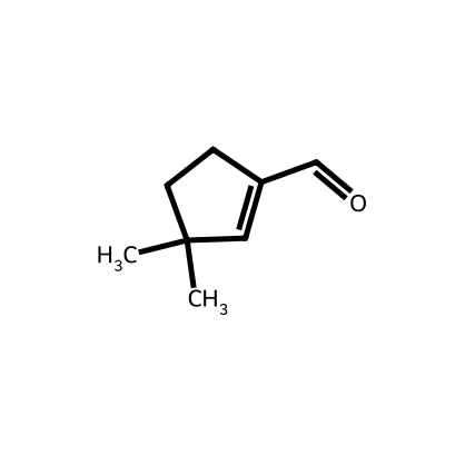 CC1(C)C=C(C=O)CC1